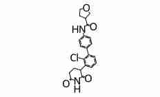 O=C1CCC(c2cccc(-c3ccc(NC(=O)C4CCOC4)cc3)c2Cl)C(=O)N1